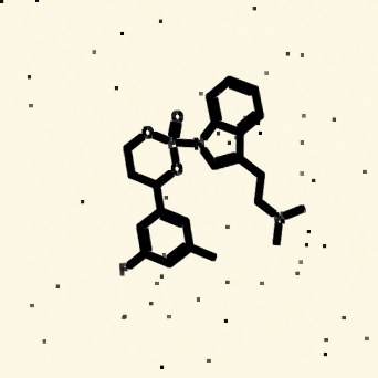 Cc1cc(F)cc(C2CCOP(=O)(n3cc(CCN(C)C)c4ccccc43)O2)c1